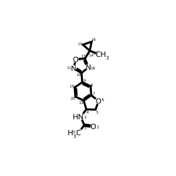 CC(=O)NC1COc2cc(-c3noc(C4(C)CC4)n3)ccc21